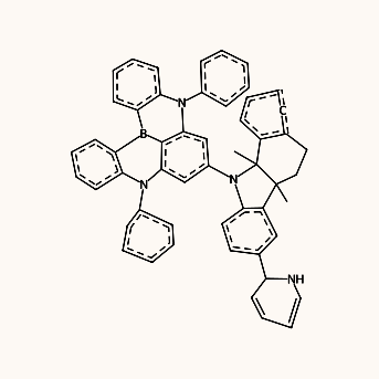 CC12CCc3ccccc3C1(C)N(c1cc3c4c(c1)N(c1ccccc1)c1ccccc1B4c1ccccc1N3c1ccccc1)c1ccc(C3C=CC=CN3)cc12